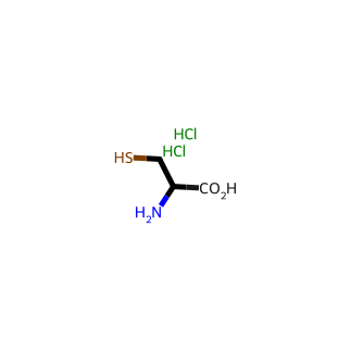 Cl.Cl.NC(CS)C(=O)O